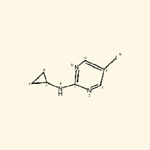 Ic1cnc(NC2CC2)nc1